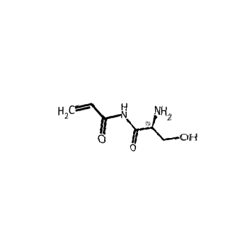 C=CC(=O)NC(=O)[C@@H](N)CO